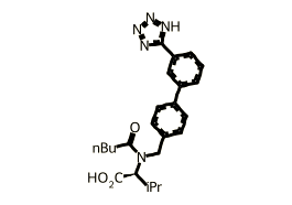 CCCCC(=O)N(Cc1ccc(-c2cccc(-c3nnn[nH]3)c2)cc1)[C@H](C(=O)O)C(C)C